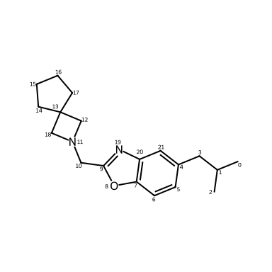 CC(C)Cc1ccc2oc(CN3CC4(CCCC4)C3)nc2c1